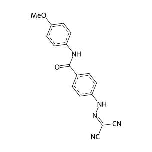 COc1ccc(NC(=O)c2ccc(NN=C(C#N)C#N)cc2)cc1